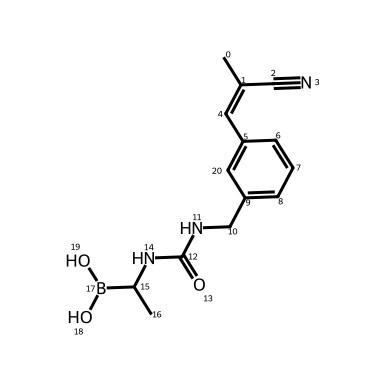 CC(C#N)=Cc1cccc(CNC(=O)NC(C)B(O)O)c1